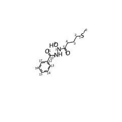 CSCCCC(=O)N(O)NC(=O)c1ccccc1